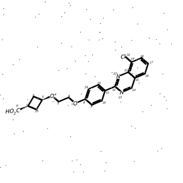 O=C(O)[C@H]1C[C@@H](OCCOc2ccc(-c3ncc4cccc(Cl)c4n3)cc2)C1